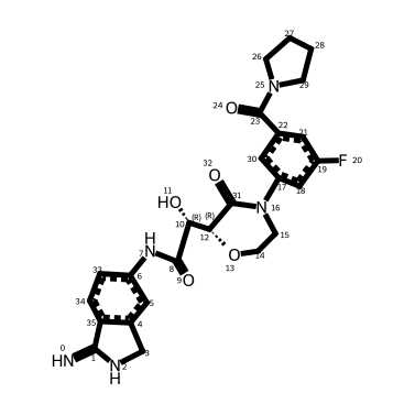 N=C1NCc2cc(NC(=O)[C@H](O)[C@H]3OCCN(c4cc(F)cc(C(=O)N5CCCC5)c4)C3=O)ccc21